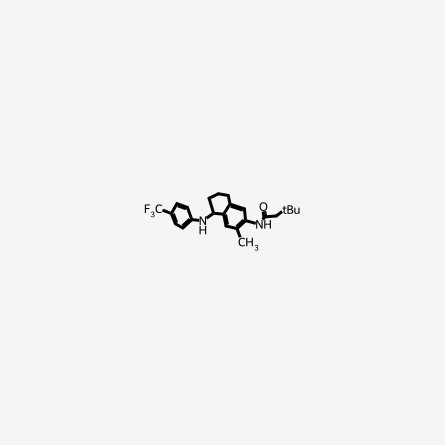 Cc1cc2c(cc1NC(=O)CC(C)(C)C)CCCC2Nc1ccc(C(F)(F)F)cc1